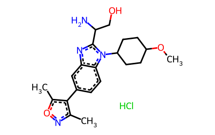 COC1CCC(n2c(C(N)CO)nc3cc(-c4c(C)noc4C)ccc32)CC1.Cl